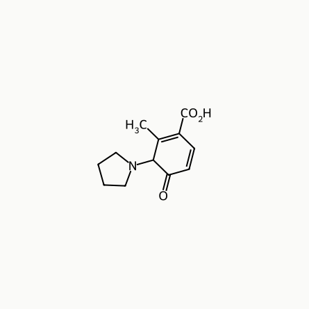 CC1=C(C(=O)O)C=CC(=O)C1N1CCCC1